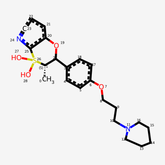 C[C@H]1C(c2ccc(OCCCN3CCCCC3)cc2)Oc2cccnc2S1(O)O